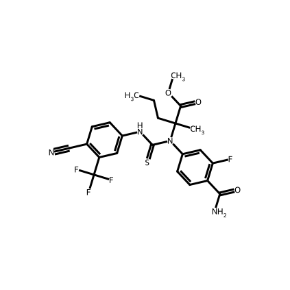 CCCC(C)(C(=O)OC)N(C(=S)Nc1ccc(C#N)c(C(F)(F)F)c1)c1ccc(C(N)=O)c(F)c1